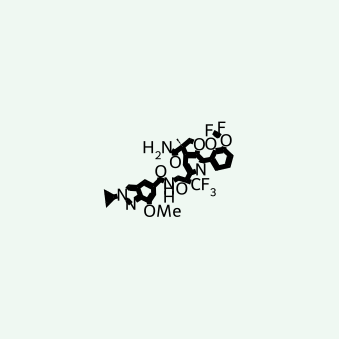 COc1cc(C(=O)NCC(O)(c2cc3c(c(-c4cccc5c4OC(F)(F)O5)n2)OC[C@]3(C)C(N)=O)C(F)(F)F)cc2cn(C3CC3)nc12